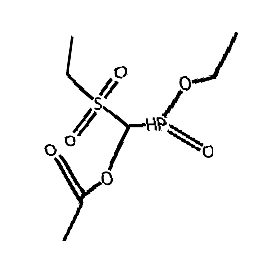 CCO[PH](=O)C(OC(C)=O)S(=O)(=O)CC